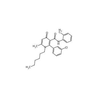 CCCCCCn1c(C)cc(=O)c(C(=O)Nc2ccccc2C)c1-c1cccc(Cl)c1